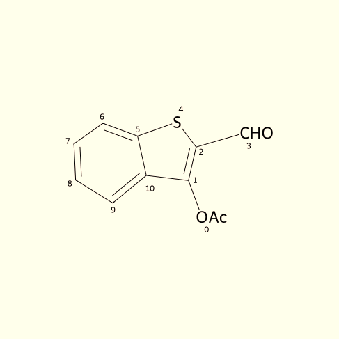 CC(=O)Oc1c(C=O)sc2ccccc12